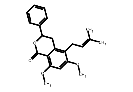 COc1cc(OC)c2c(c1CC=C(C)C)CC(c1ccccc1)OC2=O